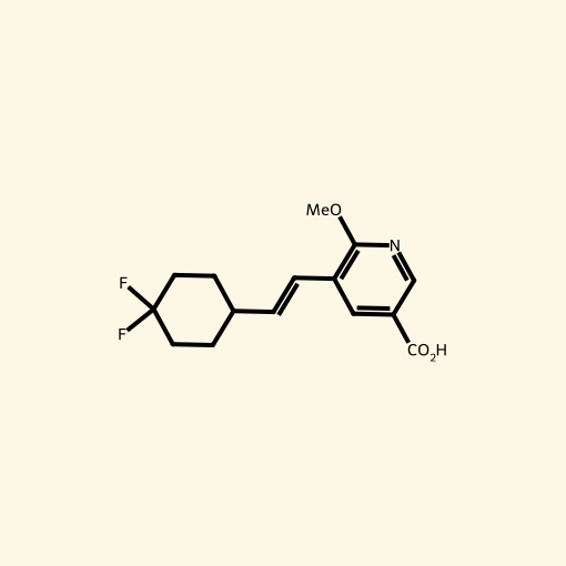 COc1ncc(C(=O)O)cc1C=CC1CCC(F)(F)CC1